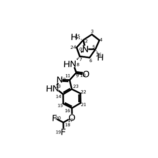 CN1[C@@H]2CC[C@H]1C[C@H](NC(=O)c1n[nH]c3cc(OC(F)F)ccc13)C2